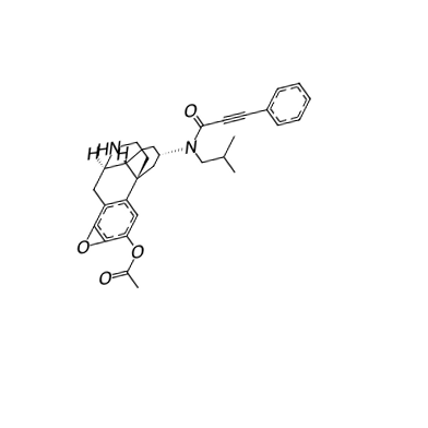 CC(=O)Oc1cc2c(c3c1O3)C[C@H]1NCC[C@@]23C[C@@H](N(CC(C)C)C(=O)C#Cc2ccccc2)CC[C@@H]13